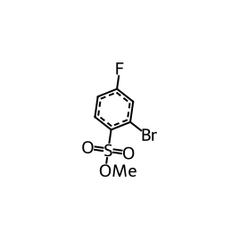 COS(=O)(=O)c1ccc(F)cc1Br